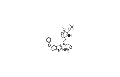 COC(=O)C(COC(C)(C)C)NC(=O)CC[C@@H](C1CCOCC1)N1Cc2cc(Oc3ccccc3)ccc2N=C1N